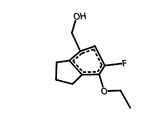 CCOc1c(F)cc(CO)c2c1CCC2